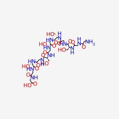 NCC(=O)NCC(=O)N[C@@H](CO)C(=O)NCC(=O)N[C@@H](CO)C(=O)N[C@@H](CO)C(=O)NCC(=O)N[C@@H](CO)C(=O)NCC(=O)N[C@@H](CO)C(=O)NCC(=O)NCC(=O)O